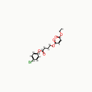 CCOC(=O)/C=C\C(=O)OCCCC(=O)Oc1ccc(Br)cc1